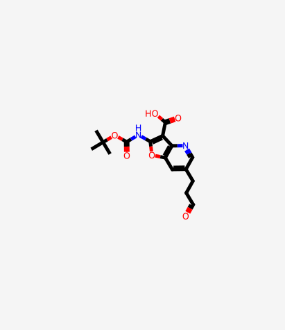 CC(C)(C)OC(=O)Nc1oc2cc(CCC=O)cnc2c1C(=O)O